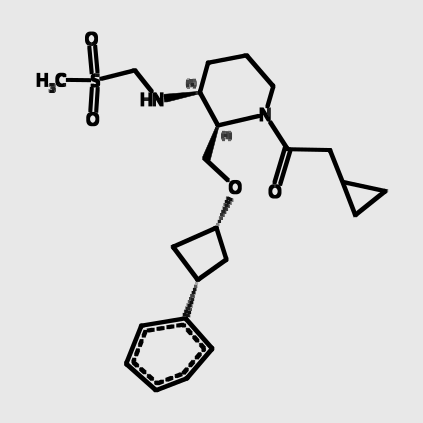 CS(=O)(=O)CN[C@H]1CCCN(C(=O)CC2CC2)[C@H]1CO[C@H]1C[C@@H](c2ccccc2)C1